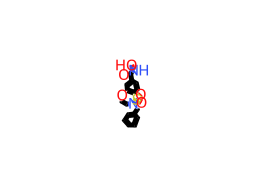 O=C(NO)c1ccc2c(c1)OCCN(Cc1ccccc1)S2(=O)=O